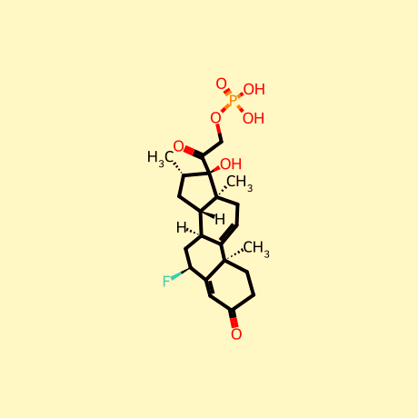 C[C@H]1C[C@H]2[C@@H]3C[C@H](F)C4=CC(=O)CC[C@]4(C)C3=CC[C@]2(C)[C@@]1(O)C(=O)COP(=O)(O)O